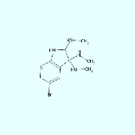 CNC1Nc2ccc(Br)cc2C1(NC)NC